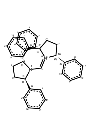 C(N1[C@@H](c2ccccc2)CC[C@@H]1c1ccccc1)=[N+]1[C@@H](c2ccccc2)CC[C@@H]1c1ccccc1